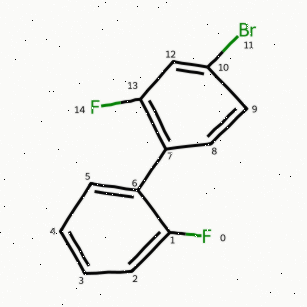 Fc1ccccc1-c1ccc(Br)cc1F